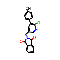 N#Cc1ccc(-c2cc(CN3C(=O)c4ccccc4C3=O)cnc2Cl)cc1